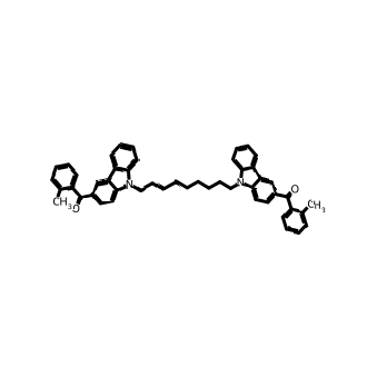 Cc1ccccc1C(=O)c1ccc2c(c1)c1ccccc1n2CCCCCCCCCn1c2ccccc2c2cc(C(=O)c3ccccc3C)ccc21